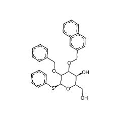 OCC1O[C@@H](Sc2ccccc2)C(OCc2ccccc2)C(OCc2ccc3ccccc3c2)[C@H]1O